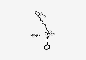 CCCCCCCCOS(=O)(=O)C=Cc1ccccc1.[NaH]